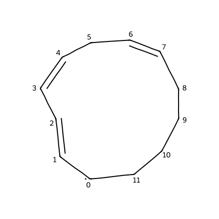 [CH]1/C=C/C=C\C/C=C\CCCC1